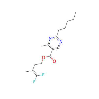 CCCCCc1ncc(C(=O)OCCC(C)=C(F)F)c(C)n1